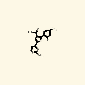 Cc1ccc(-c2[nH]c(-c3ccnc(N)n3)cc2C(N)=O)c(F)c1